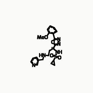 COc1ccccc1-c1nnc([C@H](CCNCc2cccnc2)NS(=O)(=O)C2CC2)o1